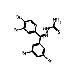 NC(=S)N/N=C(/c1cc(Br)cc(Br)c1)c1ccc(Br)c(Br)c1